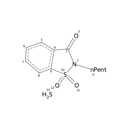 CCCCCN1C(=O)c2ccccc2S1(=O)=O.S